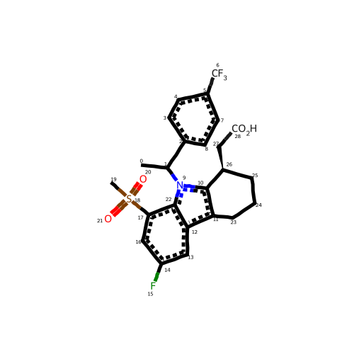 CC(c1ccc(C(F)(F)F)cc1)n1c2c(c3cc(F)cc(S(C)(=O)=O)c31)CCC[C@@H]2CC(=O)O